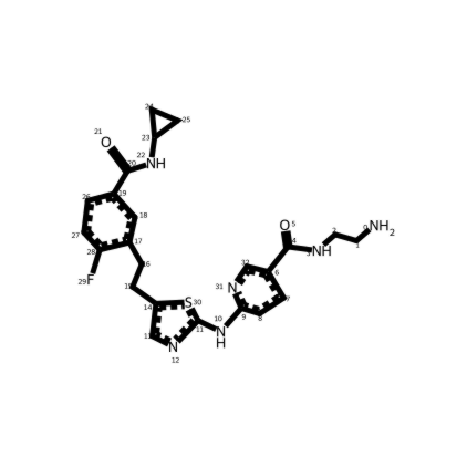 NCCNC(=O)c1ccc(Nc2ncc(CCc3cc(C(=O)NC4CC4)ccc3F)s2)nc1